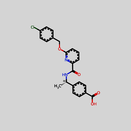 C[C@H](NC(=O)c1cccc(OCc2ccc(Cl)cc2)n1)c1ccc(C(=O)O)cc1